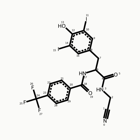 N#CCNC(=O)C(Cc1cc(I)c(O)c(I)c1)NC(=O)c1ccc(C(F)(F)F)cc1